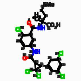 CSCCC(C)(NC(=O)c1cc(NC(=O)[C@H]2[C@H](c3cc(Cl)cc(Cl)c3)C2(Cl)Cl)ccc1Cl)C(=O)O